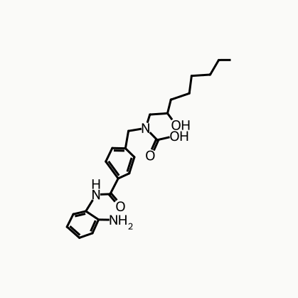 CCCCCCC(O)CN(Cc1ccc(C(=O)Nc2ccccc2N)cc1)C(=O)O